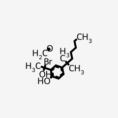 C=O.CCCCCC(C)(C)c1ccc(O)c(C(C)(O)Br)c1